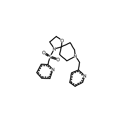 O=S(=O)(c1ccccn1)N1CCOC12CCN(Cc1ccccn1)CC2